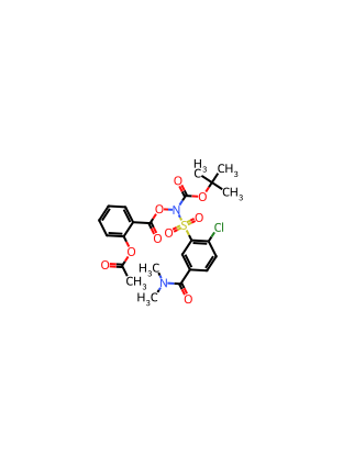 CC(=O)Oc1ccccc1C(=O)ON(C(=O)OC(C)(C)C)S(=O)(=O)c1cc(C(=O)N(C)C)ccc1Cl